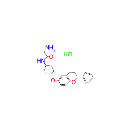 Cl.NCC(=O)N[C@H]1CC[C@H](Oc2ccc3c(c2)CC[C@H](c2ccccc2)O3)CC1